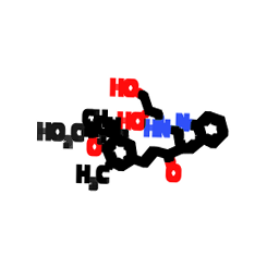 Cc1cc(/C=C/C(=O)c2cc3ccccc3nc2NC[C@@H](O)CO)cc(C)c1OC(C)(C)C(=O)O